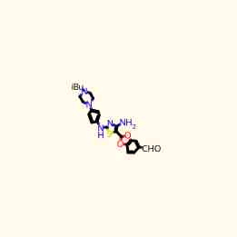 CCC(C)N1CCN(c2ccc(Nc3nc(N)c(C4Oc5ccc(C=O)cc5O4)s3)cc2)CC1